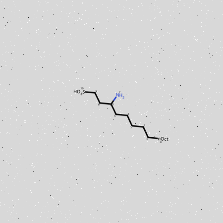 CCCCCCCCCCCCCC(N)CCS(=O)(=O)O